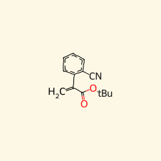 C=C(C(=O)OC(C)(C)C)c1ccccc1C#N